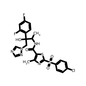 Cc1nc(S(=O)(=O)c2ccc(Cl)cc2)sc1C(=O)NC(C)C(O)(Cn1cncn1)c1ccc(F)cc1F